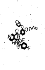 COc1ccc(NC(=O)c2cnccc2C(=O)NS(=O)(=O)c2ccc(F)cc2F)cc1O[C@@H]1CCOC1